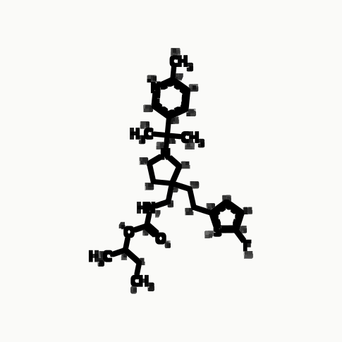 CCC(C)OC(=O)NCC1(CCc2ccc(F)s2)CCN(C(C)(C)c2ccc(C)nc2)C1